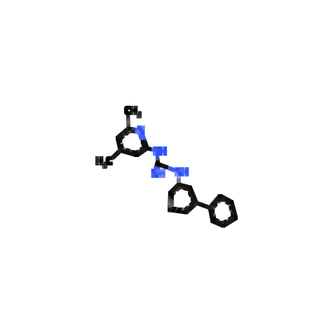 Cc1cc(C)nc(NC(=N)Nc2cccc(-c3ccccc3)c2)c1